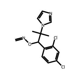 C=NOC(c1ccc(Cl)cc1Cl)C(C)(C)n1ccnc1